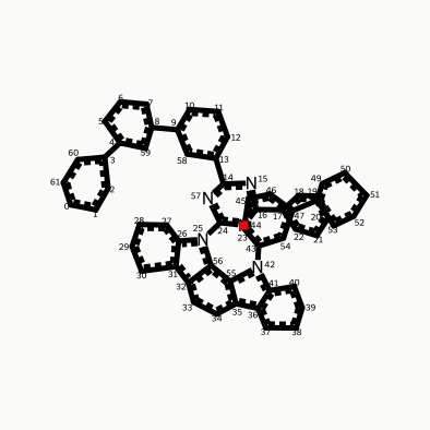 c1ccc(-c2cccc(-c3cccc(-c4nc(-c5ccccc5)nc(-n5c6ccccc6c6ccc7c8ccccc8n(-c8cccc(-c9ccccc9)c8)c7c65)n4)c3)c2)cc1